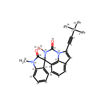 CC(C)[Si](C#Cc1cc2cccc3c2n1C(=O)N(Br)C31C(=O)N(C)c2ccccc21)(C(C)C)C(C)C